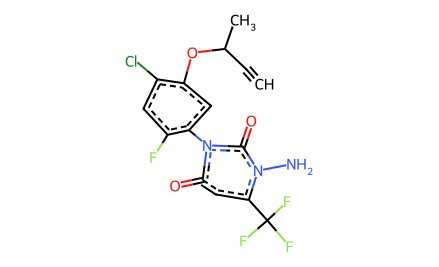 C#CC(C)Oc1cc(-n2c(=O)cc(C(F)(F)F)n(N)c2=O)c(F)cc1Cl